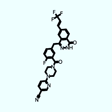 N#Cc1ccc(N2CCN(C(=O)c3cc(Cc4n[nH]c(=O)c5ccc(/C=C/C(F)(F)F)cc45)ccc3F)CC2)nc1